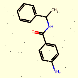 CC(NC(=O)c1c[c]c(N)cc1)c1ccccc1